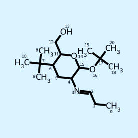 CC/C=N/C1CC(C(C)(C)C)C(CO)OC1OC(C)(C)C